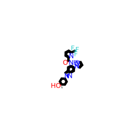 C[C@]1(O)CC[C@@H](n2cc3cc(NC(=O)c4cccc(C(F)(F)F)n4)c(-n4cccn4)cc3n2)CC1